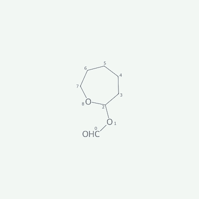 O=COC1CCCCCO1